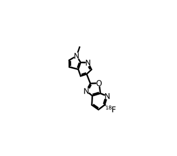 Cn1ccc2cc(-c3nc4ccc([18F])nc4o3)cnc21